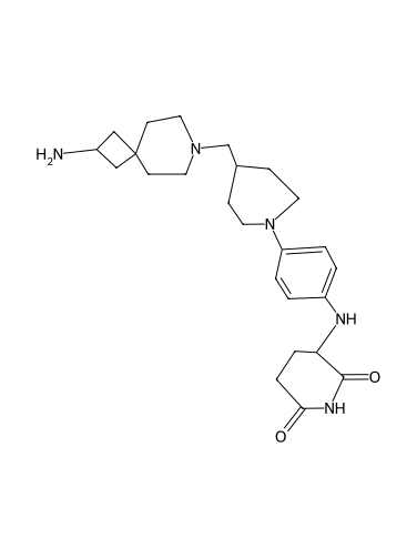 NC1CC2(CCN(CC3CCN(c4ccc(NC5CCC(=O)NC5=O)cc4)CC3)CC2)C1